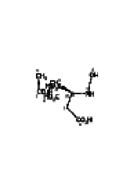 CC(=O)O.CC(=O)O.O=C(O)C[C@H](NO)C(=O)O